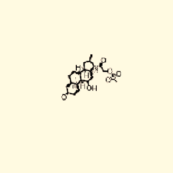 CC1C[C@H]2[C@@H]3CCC4=CC(=O)C=C[C@]4(C)[C@H]3C(O)C[C@]2(C)[C@H]1C(=O)COS(C)(=O)=O